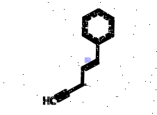 C#C[CH]/C=C/c1ccccc1